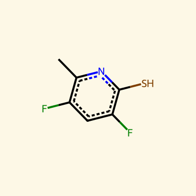 Cc1nc(S)c(F)cc1F